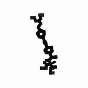 CNC(=O)[C@@](C)(C(=O)NO)N(C)C(=O)c1ccc(C#Cc2ccc(COC(CO)CO)cc2)cc1